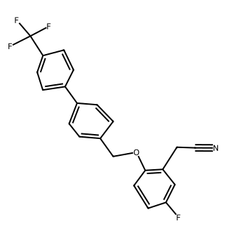 N#CCc1cc(F)ccc1OCc1ccc(-c2ccc(C(F)(F)F)cc2)cc1